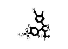 Cc1cc(-c2noc(C(F)(F)F)c2-c2cc(F)c(S(N)(=O)=O)cc2F)ccc1C#N